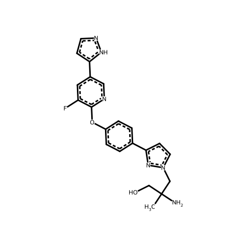 CC(N)(CO)Cn1ccc(-c2ccc(Oc3ncc(-c4ccn[nH]4)cc3F)cc2)n1